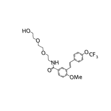 COc1ccc(C(=O)NCCOCCOCCO)cc1/C=C/c1ccc(OC(F)(F)F)cc1